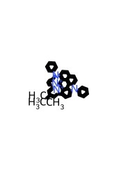 CC(C)(C)c1cc[n+]2c(c1)-c1ccc3c4c1C21c2c(ccc5ccc(c4c25)n3-c2ccccc2)N(c2ccccc2)c2cccc[n+]21